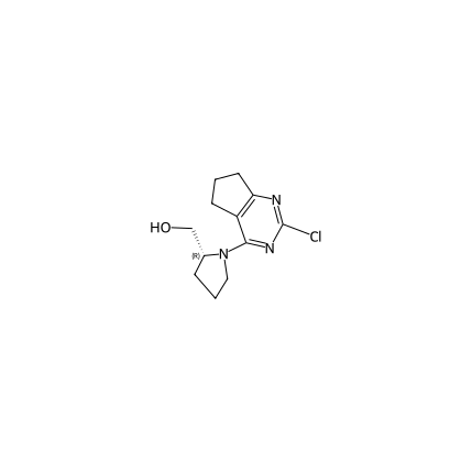 OC[C@H]1CCCN1c1nc(Cl)nc2c1CCC2